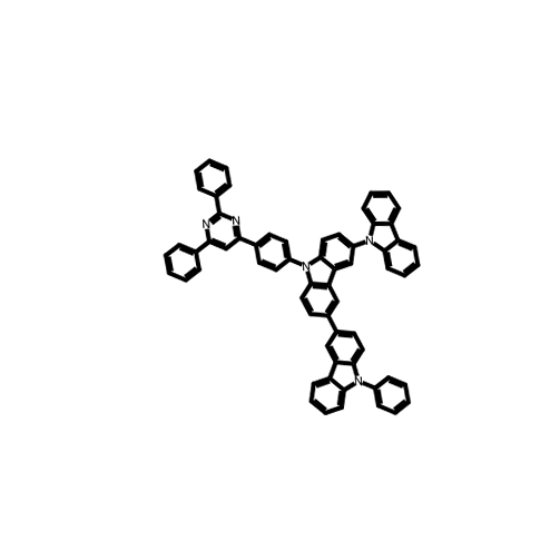 c1ccc(-c2cc(-c3ccc(-n4c5ccc(-c6ccc7c(c6)c6ccccc6n7-c6ccccc6)cc5c5cc(-n6c7ccccc7c7ccccc76)ccc54)cc3)nc(-c3ccccc3)n2)cc1